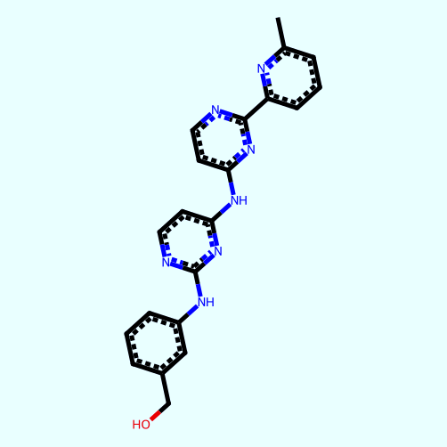 Cc1cccc(-c2nccc(Nc3ccnc(Nc4cccc(CO)c4)n3)n2)n1